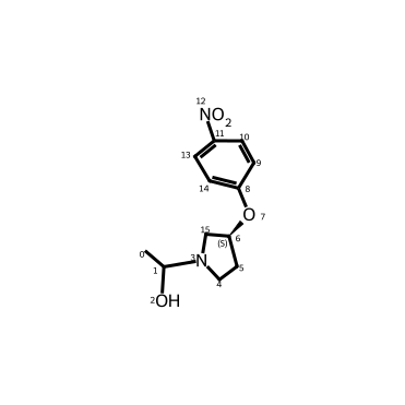 CC(O)N1CC[C@H](Oc2ccc([N+](=O)[O-])cc2)C1